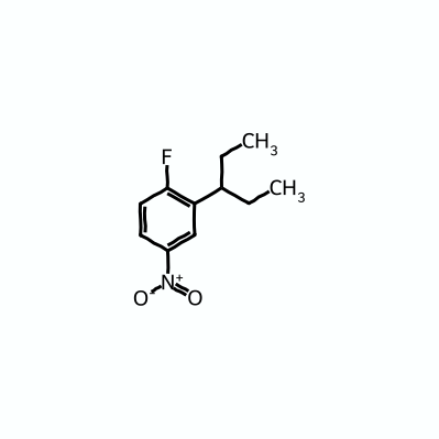 CCC(CC)c1cc([N+](=O)[O-])ccc1F